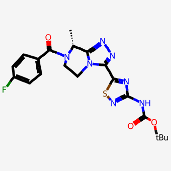 C[C@@H]1c2nnc(-c3nc(NC(=O)OC(C)(C)C)ns3)n2CCN1C(=O)c1ccc(F)cc1